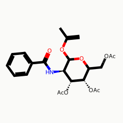 C=C(C)OC1OC(COC(C)=O)[C@H](OC(C)=O)[C@H](OC(C)=O)[C@H]1NC(=O)c1ccccc1